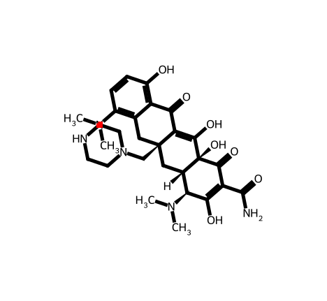 CN(C)c1ccc(O)c2c1C[C@@]1(CN3CCNCC3)C[C@H]3[C@H](N(C)C)C(O)=C(C(N)=O)C(=O)[C@@]3(O)C(O)=C1C2=O